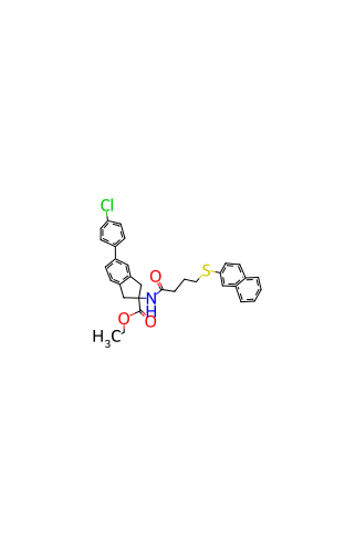 CCOC(=O)C1(NC(=O)CCCSc2ccc3ccccc3c2)Cc2ccc(-c3ccc(Cl)cc3)cc2C1